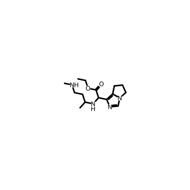 CCOC(=O)C(NC(C)CCNC)c1ncn2c1CCC2